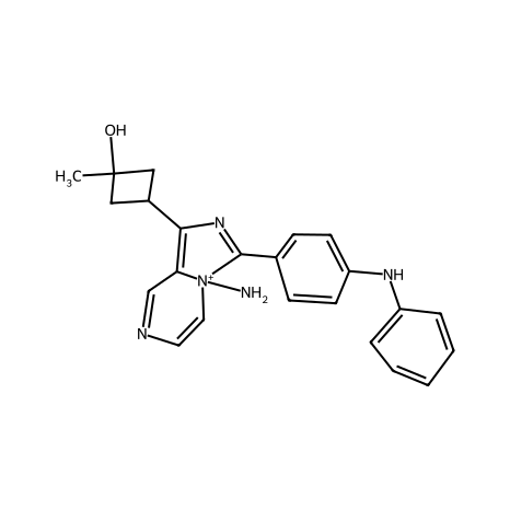 CC1(O)CC(C2=C3C=NC=C[N+]3(N)C(c3ccc(Nc4ccccc4)cc3)=N2)C1